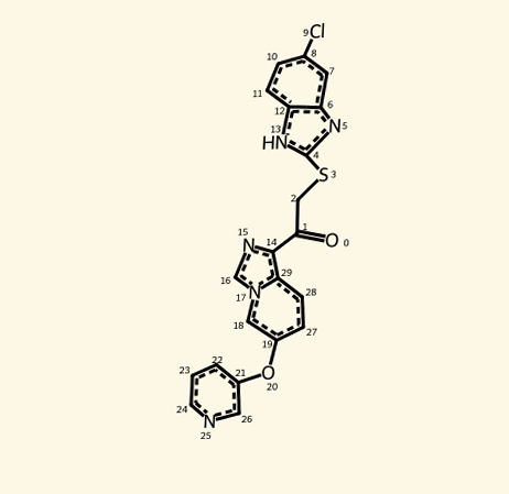 O=C(CSc1nc2cc(Cl)ccc2[nH]1)c1ncn2cc(Oc3cccnc3)ccc12